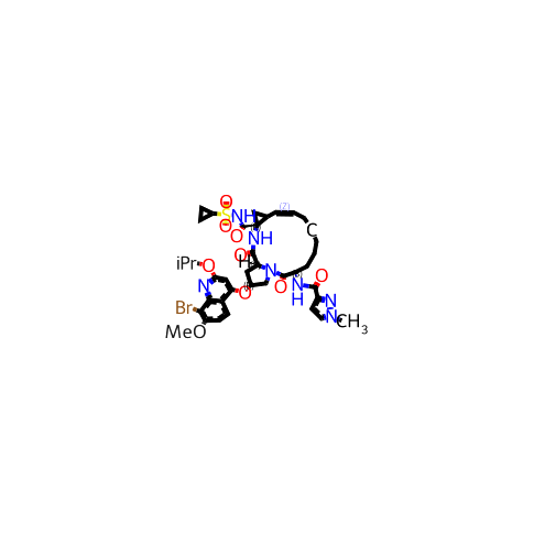 COc1ccc2c(O[C@@H]3C[C@H]4C(=O)N[C@]5(C(=O)NS(=O)(=O)C6CC6)CC5/C=C\CCCCC[C@H](NC(=O)c5ccn(C)n5)C(=O)N4C3)cc(OC(C)C)nc2c1Br